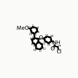 COc1cccc(-c2ccc3ccccc3c2Oc2ccc(NC(=O)CCl)cc2)c1